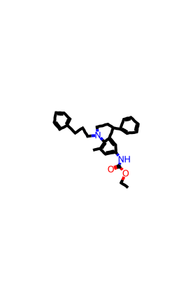 CCOC(=O)Nc1cc(C)c2c(c1)C(c1ccccc1)CCN2CCCc1ccccc1